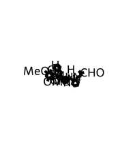 C=C(C=O)CNc1ccccc1Nc1cc(N(Cc2ccccc2)C(=O)Nc2c(Cl)c(OC)cc(OC)c2Cl)ncn1